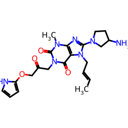 CC=CCn1c(N2CCC(N)C2)nc2c1c(=O)n(CC(=O)COc1ccc[nH]1)c(=O)n2C